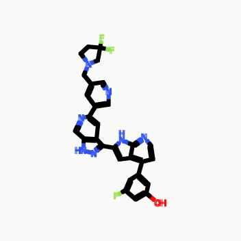 Oc1cc(F)cc(-c2ccnc3[nH]c(-c4n[nH]c5cnc(-c6cncc(CN7CCC(F)(F)C7)c6)cc45)cc23)c1